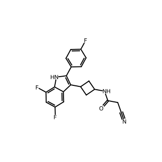 N#CCC(=O)NC1CC(c2c(-c3ccc(F)cc3)[nH]c3c(F)cc(F)cc23)C1